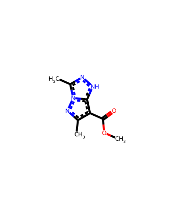 COC(=O)c1c(C)nn2c(C)n[nH]c12